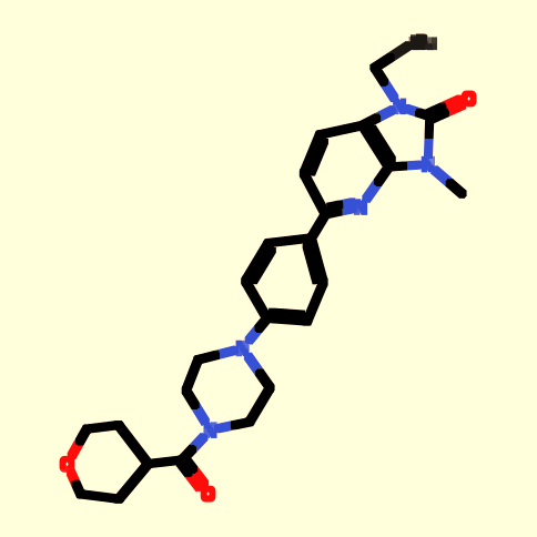 Cn1c(=O)n(CC(C)(C)C)c2ccc(-c3ccc(N4CCN(C(=O)C5CCOCC5)CC4)cc3)nc21